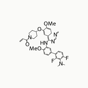 C=CC(=O)N1CCC(OC2=C/C(=C(/N=C\N=C)Nc3cc(-c4ccc(F)c(N(C)C)c4F)ccc3OC)CC=C2OC)CC1